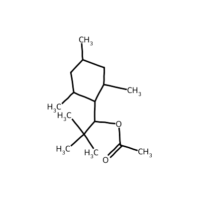 CC(=O)OC(C1C(C)CC(C)CC1C)C(C)(C)C